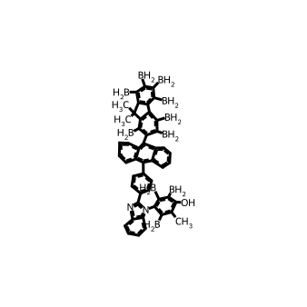 Bc1c(B)c(B)c2c(c1B)-c1c(B)c(B)c(-c3c4ccccc4c(-c4ccc(-c5nc6ccccc6n5-c5c(B)c(B)c(O)c(C)c5B)cc4)c4ccccc34)c(B)c1C2(C)C